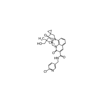 CC(C)(CO)S(=O)(=O)C1(CN2CCn3c(=O)c(C(=O)NCc4ccc(Cl)nc4)cc4cccc2c43)CC1